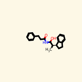 CC(C(O)NC(=O)CCc1ccccc1)[C@@H]1CCc2ccccc21